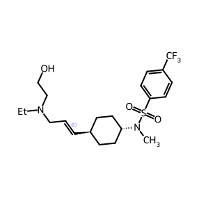 CCN(C/C=C/[C@H]1CC[C@H](N(C)S(=O)(=O)c2ccc(C(F)(F)F)cc2)CC1)CCO